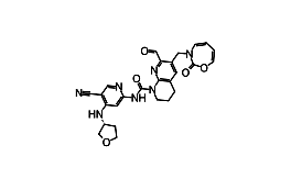 N#Cc1cnc(NC(=O)N2CCCc3cc(CN4C=CC=COC4=O)c(C=O)nc32)cc1N[C@@H]1CCOC1